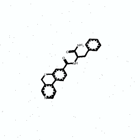 NC(=O)C(Cc1ccccc1)NC(=O)c1ccc2c(c1)OCc1cnccc1-2